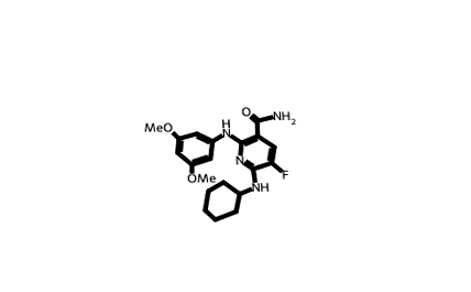 COc1cc(Nc2nc(NC3CCCCC3)c(F)cc2C(N)=O)cc(OC)c1